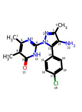 Cc1nn(-c2nc(C)c(C)c(=O)[nH]2)c(-c2ccc(Cl)cc2)c1N